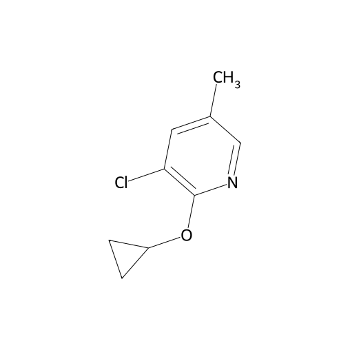 Cc1cnc(OC2CC2)c(Cl)c1